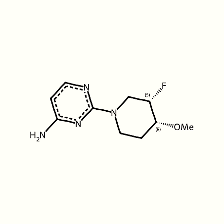 CO[C@@H]1CCN(c2nccc(N)n2)C[C@@H]1F